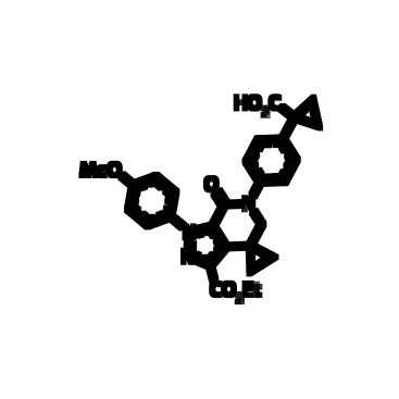 CCOC(=O)c1nn(-c2ccc(OC)cc2)c2c1C1(CC1)CN(c1ccc(C3(C(=O)O)CC3)cc1)C2=O